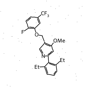 CCc1cccc(CC)c1-c1cc(OC)c(COc2cc(C(F)(F)F)ccc2F)cn1